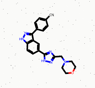 N#Cc1ccc(-c2n[nH]c3ccc(-c4nc(CN5CCOCC5)n[nH]4)cc23)cc1